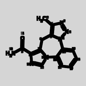 Cc1nnn2c1Cc1c(C(N)=O)ncn1-c1ccccc1-2